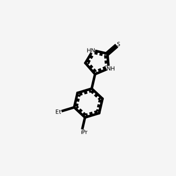 CCc1cc(-c2c[nH]c(=S)[nH]2)ccc1C(C)C